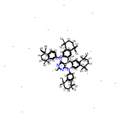 Cc1nc2c3c(n1)N(c1ccc4c(c1)C(C)(C)CCC4(C)C)c1cc4c(cc1B3c1cc3c(cc1N2c1ccc2c(c1)C(C)(C)CCC2(C)C)C(C)(C)CCC3(C)C)C(C)(C)CCC4(C)C